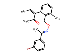 CCC/C=C(\C(=O)OC)c1cccc(C)c1CO/N=C(\C)c1cccc(Br)c1